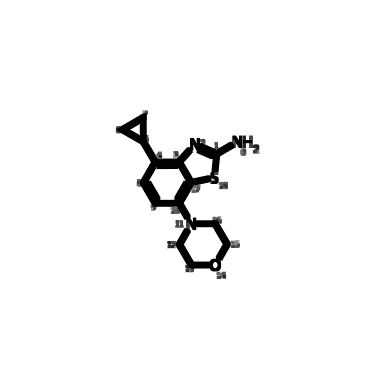 Nc1nc2c(C3CC3)ccc(N3CCOCC3)c2s1